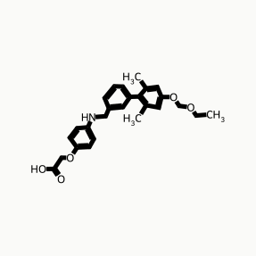 CCOCOc1cc(C)c(-c2cccc(CNc3ccc(OCC(=O)O)cc3)c2)c(C)c1